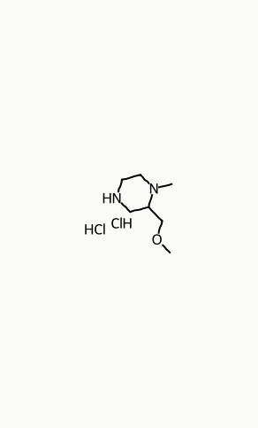 COCC1CNCCN1C.Cl.Cl